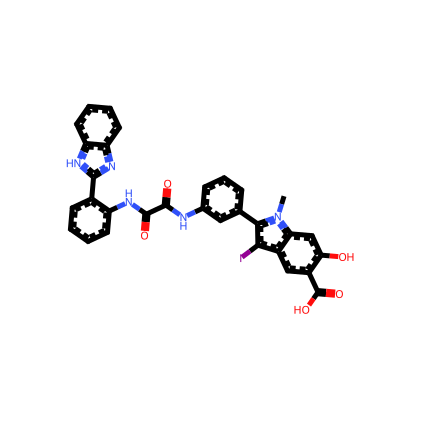 Cn1c(-c2cccc(NC(=O)C(=O)Nc3ccccc3-c3nc4ccccc4[nH]3)c2)c(I)c2cc(C(=O)O)c(O)cc21